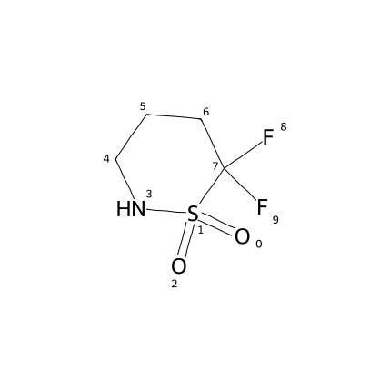 O=S1(=O)NCCCC1(F)F